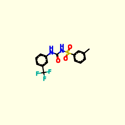 Cc1cccc(S(=O)(=O)NC(=O)Nc2cccc(C(F)(F)F)c2)c1